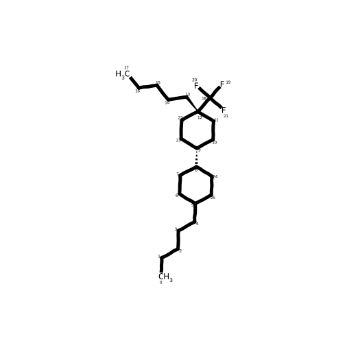 CCCCCC1CCC([C@H]2CC[C@@](CCCCC)(C(F)(F)F)CC2)CC1